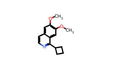 COc1cc2ccnc(C3CCC3)c2cc1OC